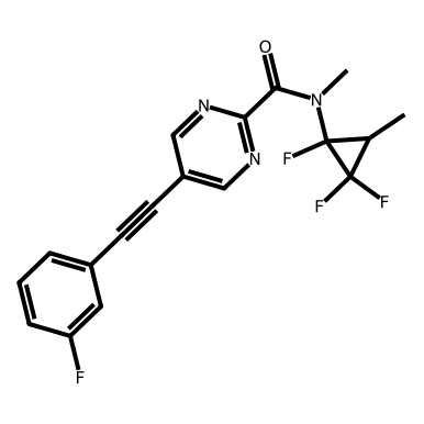 CC1C(F)(F)C1(F)N(C)C(=O)c1ncc(C#Cc2cccc(F)c2)cn1